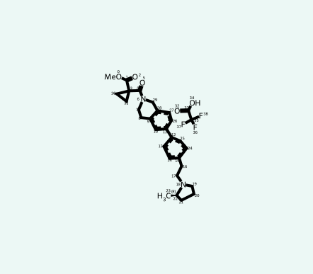 COC(=O)C1(C(=O)N2CCc3cc(-c4ccc(CCN5CCC[C@H]5C)cc4)ccc3C2)CC1.O=C(O)C(F)(F)F